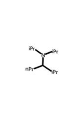 CCCC(C(C)C)N(C(C)C)C(C)C